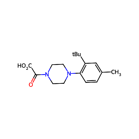 Cc1ccc(N2CCN(C(=O)C(=O)O)CC2)c(C(C)(C)C)c1